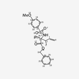 C=CC(C)[C@@](NS(=O)(=O)c1ccc(OC)cc1)(C(=O)OCc1ccccc1)C(C)C